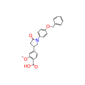 COc1cc(C2CC(=O)N(c3ccc(OCc4ccccc4)cc3)C2)ccc1C(=O)O